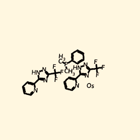 CP(C)c1ccccc1.FC(F)(F)c1n[nH]c(-c2ccccn2)n1.FC(F)(F)c1n[nH]c(-c2ccccn2)n1.[Os]